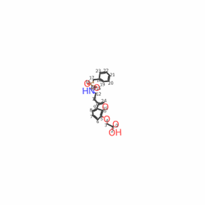 O=C(O)COc1cccc2c(CCNS(=O)(=O)Cc3ccccc3)coc12